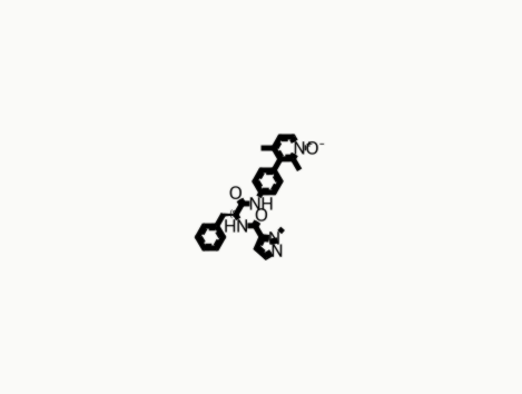 Cc1cc[n+]([O-])c(C)c1-c1ccc(NC(=O)[C@H](Cc2ccccc2)NC(=O)c2ccnn2C)cc1